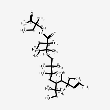 CC=CC(C)(CC)C(O)C(CC(C)(C)C(C)(C)CNC(C)(CC)C(C)(CC)C(=O)BNC(C)(CC)C(C)=O)C(C)(C)CC